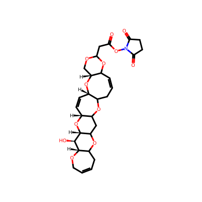 O=C(CC1OC[C@H]2O[C@H]3C=C[C@H]4O[C@@H]5C(CC4OC3C/C=C\C2O1)OC1CC=CCO[C@@H]1[C@H]5O)ON1C(=O)CCC1=O